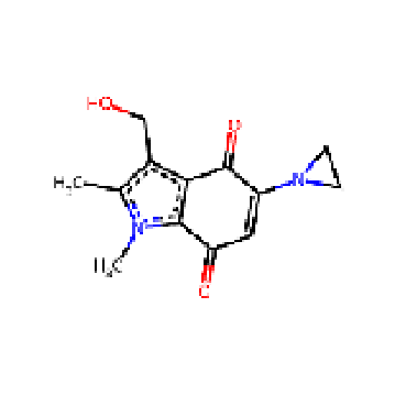 Cc1c(CO)c2c(n1C)C(=O)C=C(N1CC1)C2=O